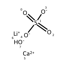 O=S(=O)([O-])[O-].[Ca+2].[Li+].[OH-]